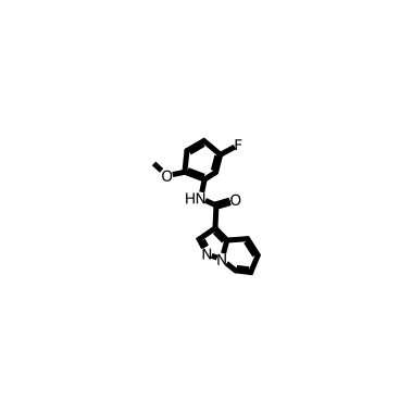 COc1ccc(F)cc1NC(=O)c1cnn2ccccc12